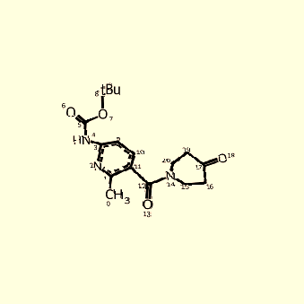 Cc1nc(NC(=O)OC(C)(C)C)ccc1C(=O)N1CCC(=O)CC1